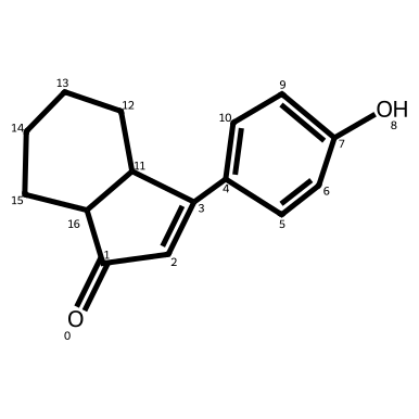 O=C1C=C(c2ccc(O)cc2)C2CCCCC12